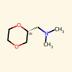 CN(C)C[C@@H]1COCCO1